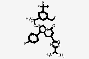 CC(C)c1noc(C2=CC(=O)N3C[C@H](O[C@H](C)c4cc(CF)cc(C(F)(F)F)c4)C(c4ccc(F)cc4)C3C2)n1